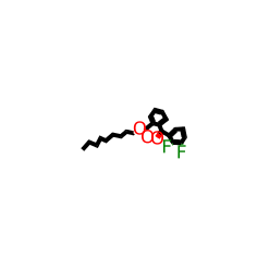 CCCCCCCCCOC(=O)c1ccccc1C(=O)c1cccc(F)c1F